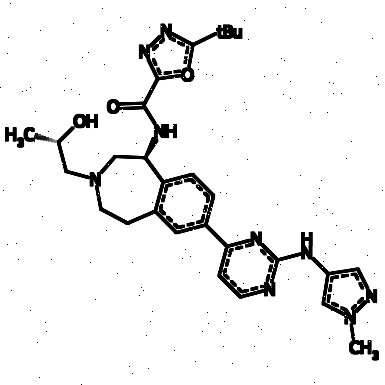 C[C@H](O)CN1CCc2cc(-c3ccnc(Nc4cnn(C)c4)n3)ccc2[C@H](NC(=O)c2nnc(C(C)(C)C)o2)C1